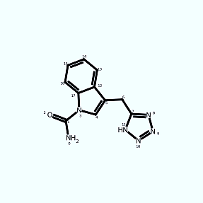 NC(=O)n1cc(Cc2nnn[nH]2)c2ccccc21